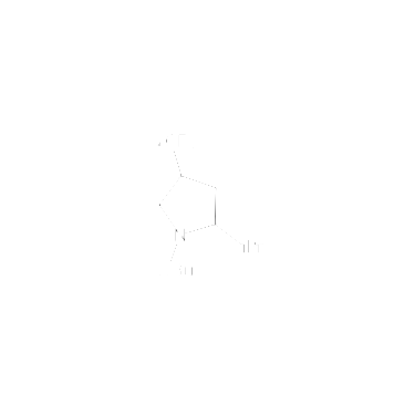 CC(C)C1CC(C(F)(F)F)CN1C(C)(C)C